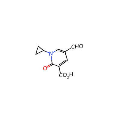 O=Cc1cc(C(=O)O)c(=O)n(C2CC2)c1